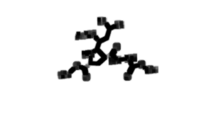 CCC(CC)C[C@H](NC(C)=O)[C@@H]1N[C@@H](C(=O)OC(C)(C)C)C[C@H]1C(=O)NNC(=O)OC(C)(C)C